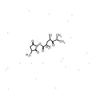 CCC(CC(C)C(=O)ON1C(=O)CC(C)C1=O)C(=O)N(C)C